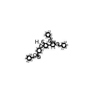 Cc1cc(-c2ccc(OCc3ccccc3)nc2OCc2ccccc2)ccc1OC1CCC(C(=O)OCc2ccccc2)CC1